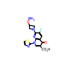 NOC1CN(c2nc3c(cc2F)c(=O)c(C(=O)O)cn3-c2nccs2)C1